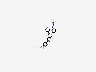 [2H]C(c1ccc(-c2ccc(N(C)C)cc2)cn1)N(C(=O)C1CCCCC1)c1cccc(/C=C/C(=O)OC)c1